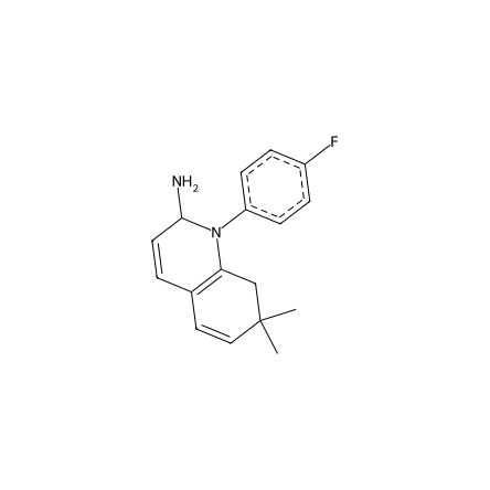 CC1(C)C=CC2=C(C1)N(c1ccc(F)cc1)C(N)C=C2